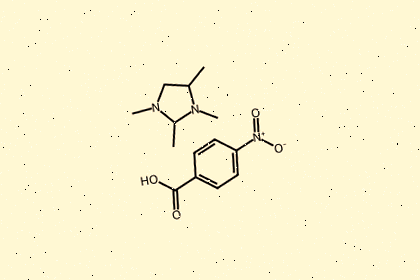 CC1CN(C)C(C)N1C.O=C(O)c1ccc([N+](=O)[O-])cc1